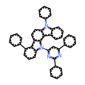 c1ccc(-c2cc(-n3c4cccc(-c5ccccc5)c4c4ccc5c(c6ccccc6n5-c5ccccc5)c43)nc(-c3ccccc3)n2)cc1